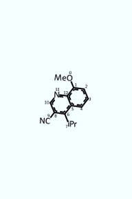 COc1cccc2c(C(C)C)c(C#N)cnc12